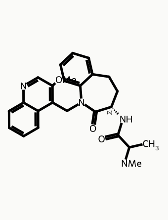 CNC(C)C(=O)N[C@H]1CCc2ccccc2N(Cc2c(OC)cnc3ccccc23)C1=O